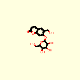 O=c1ccc2cc(CO)c(OC3OC(CO)C(O)C(O)C3O)cc2o1